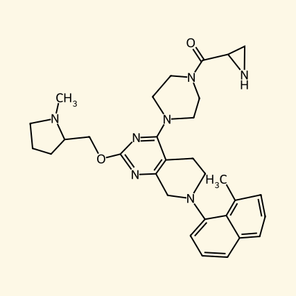 Cc1cccc2cccc(N3CCc4c(nc(OCC5CCCN5C)nc4N4CCN(C(=O)C5CN5)CC4)C3)c12